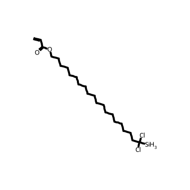 C=CC(=O)OCCCCCCCCCCCCCCCCCCCC([SiH3])(Cl)Cl